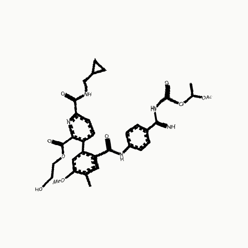 COc1cc(-c2ccc(C(=O)NCC3CC3)nc2C(=O)OCCO)c(C(=O)Nc2ccc(C(=N)NC(=O)OC(C)OC(C)=O)cc2)cc1C